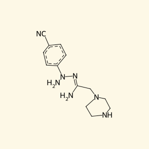 N#Cc1ccc(N(N)/N=C(\N)CN2CCNCC2)cc1